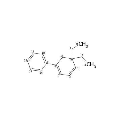 CCC1(CC)C=CC=C(c2ccccc2)C1